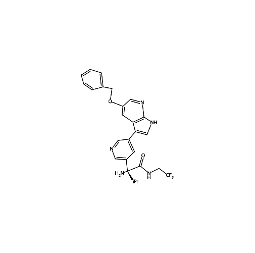 CC(C)[C@](N)(C(=O)NCC(F)(F)F)c1cncc(-c2c[nH]c3ncc(OCc4ccccc4)cc23)c1